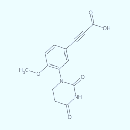 COc1ccc(C#CC(=O)O)cc1N1CCC(=O)NC1=O